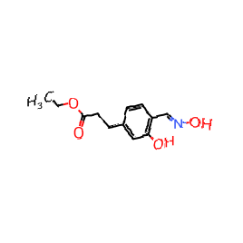 CCOC(=O)CCc1ccc(C=NO)c(O)c1